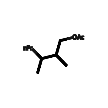 CCCC(C)C(C)COC(C)=O